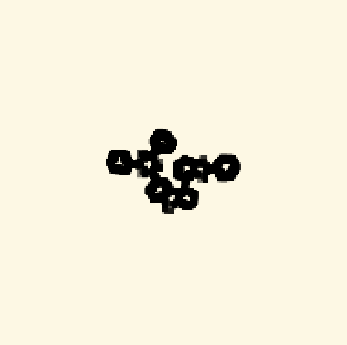 c1ccc(-c2nc(-c3ccccc3)nc(-c3ccc4oc5cccc(-c6cccc7sc(-c8ccccc8)nc67)c5c4c3)n2)cc1